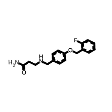 NC(=O)CCNCc1ccc(OCc2ccccc2F)cc1